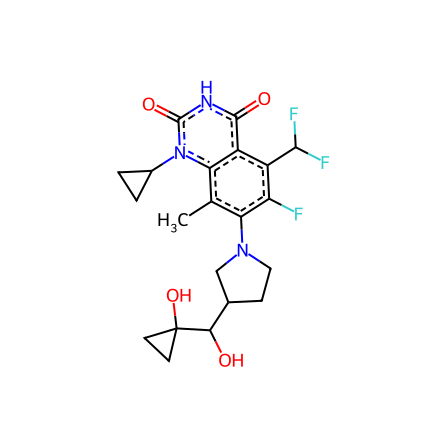 Cc1c(N2CCC(C(O)C3(O)CC3)C2)c(F)c(C(F)F)c2c(=O)[nH]c(=O)n(C3CC3)c12